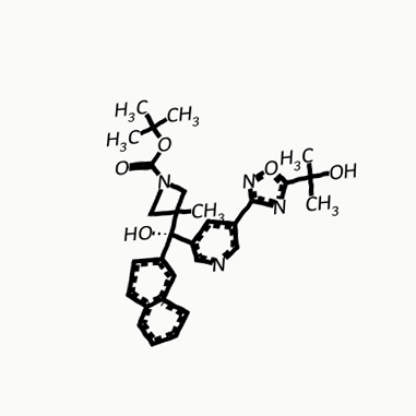 CC(C)(C)OC(=O)N1CC(C)([C@@](O)(c2cncc(-c3noc(C(C)(C)O)n3)c2)c2ccc3ccccc3c2)C1